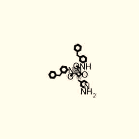 Nc1cc(C[C@H]2C(=O)N(C(=O)Nc3cccc(Cc4ccccc4)c3)[C@@H]2C(=O)Nc2cccc(Cc3ccccc3)c2)ccn1